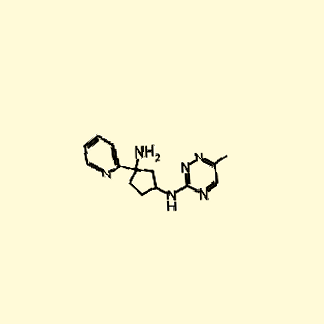 Cc1cnc(NC2CCC(N)(c3ccccn3)C2)nn1